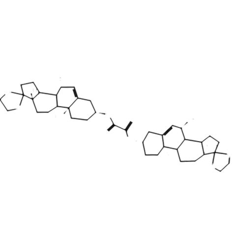 C[C@]12CC[C@H](OC(=O)C(=O)O[C@H]3CC[C@@]4(C)C(=C[C@@H](O)C5C4CC[C@@]4(C)C5CCC45OCCO5)C3)CC1=C[C@@H](O)C1C2CC[C@@]2(C)C1CCC21OCCO1